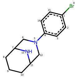 Brc1ccc(N2CC3CCCC(C2)N3)cc1